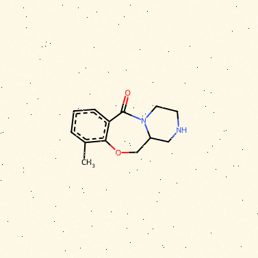 Cc1cccc2c1OCC1CNCCN1C2=O